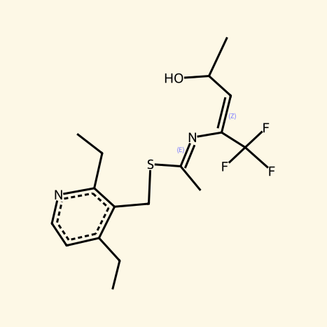 CCc1ccnc(CC)c1CS/C(C)=N/C(=C\C(C)O)C(F)(F)F